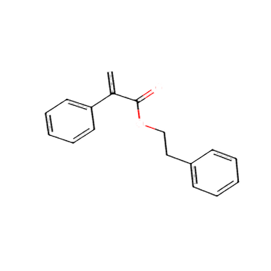 C=C(C(=O)OCCc1ccccc1)c1ccccc1